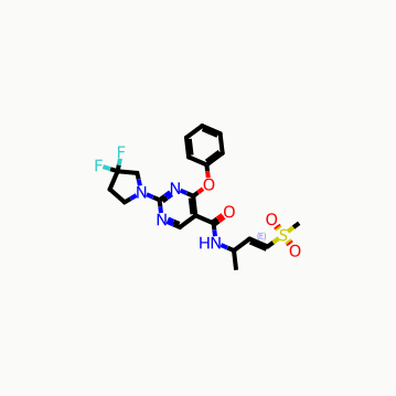 CC(/C=C/S(C)(=O)=O)NC(=O)c1cnc(N2CCC(F)(F)C2)nc1Oc1ccccc1